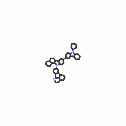 c1ccc(-n2c3ccccc3c3cc(-c4ccc5c(c4)c4ccc6ccccc6c4n5-c4ccc5c(c4)-c4cccc6ccnc-5c46)ccc32)cc1